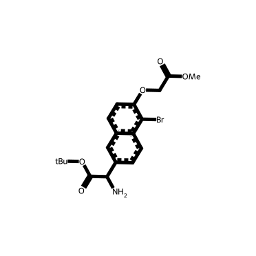 COC(=O)COc1ccc2cc(C(N)C(=O)OC(C)(C)C)ccc2c1Br